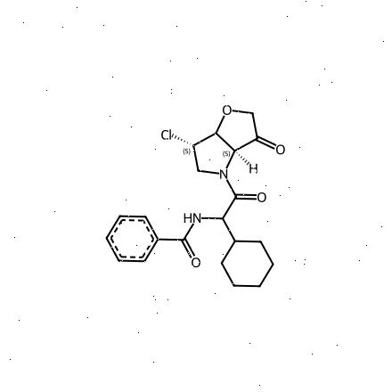 O=C(NC(C(=O)N1C[C@H](Cl)C2OCC(=O)[C@H]21)C1CCCCC1)c1ccccc1